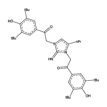 CCCc1cn(CC(=O)c2cc(C(C)(C)C)c(O)c(C(C)(C)C)c2)c(=N)n1CC(=O)c1cc(C(C)(C)C)c(O)c(C(C)(C)C)c1